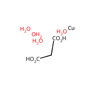 O.O.O.O.O=C(O)CC(=O)O.[Cu]